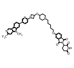 Cn1c2cc(-c3ccc(N4CC(OC5CCN(CCCCCOc6ccc7c(c6)C(=O)N(C6CCC(=O)NC6=O)C7=O)CC5)C4)nc3)ccc2c2cnc(C(F)(F)F)cc21